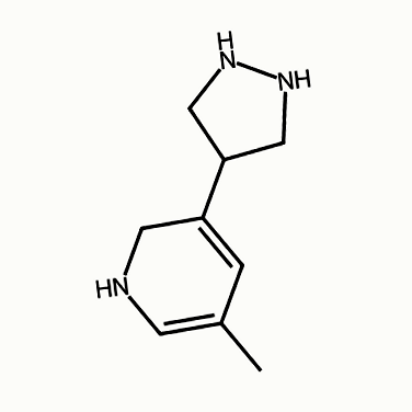 CC1=CNCC(C2CNNC2)=C1